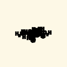 N=C(N)NCCC[C@@H](N)C(=O)N[C@@H](Cc1c[nH]cn1)C(=O)N[C@@H](Cc1c[nH]c2ccccc12)C(=O)N[C@H](Cc1c[nH]cn1)C(=O)N[C@@H](Cc1ccccc1)C(=O)O